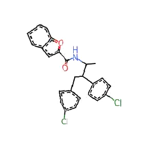 CC(NC(=O)c1cc2ccccc2o1)C(Cc1ccc(Cl)cc1)c1ccc(Cl)cc1